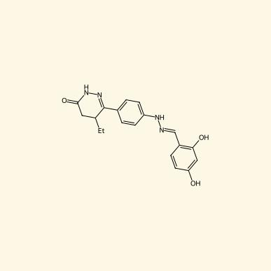 CCC1CC(=O)NN=C1c1ccc(N/N=C/c2ccc(O)cc2O)cc1